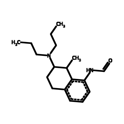 CCCN(CCC)C1CCc2cccc(NC=O)c2C1C